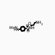 CNNc1ccc(S(=O)(=O)NC(=O)CCN)cc1